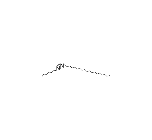 CCCCCCCCCCCCCCCCCCCN1C=CN(CCCCCCC)C1